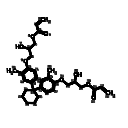 C=CC(=O)OCC(O)COc1ccc(C2(c3ccc(OCC(O)COC(=O)C=C)c(C)c3)CCCCC2)cc1C